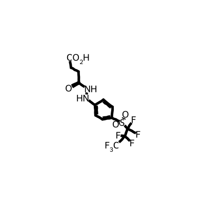 O=C(O)CCC(=O)NNc1ccc(S(=O)(=O)C(F)(F)C(F)(F)C(F)(F)F)cc1